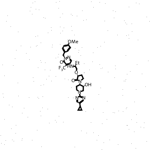 CC[C@@H](CO[C@@H]1CCN([C@@H]2CCN(c3ncc(C4CC4)cn3)C[C@H]2O)C1=O)Nc1cnn(Cc2ccc(OC)cc2)c(=O)c1C(F)(F)F